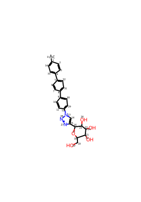 CC(=O)c1ccc(-c2ccc(-c3ccc(-n4cc(C5OC(CO)C(O)C(O)C5O)nn4)cc3)cc2)cc1